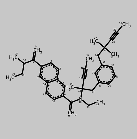 C=C(c1ccc2cc(C(=C)N(CC)C(C)(C#CC)Cc3cccc(CC(C)(C)C#CC)c3)ccc2c1)C(C)CC